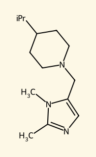 Cc1ncc(CN2CCC(C(C)C)CC2)n1C